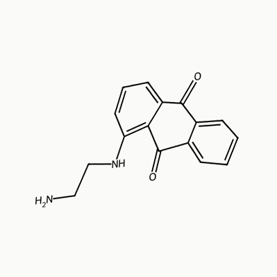 NCCNc1cccc2c1C(=O)c1ccccc1C2=O